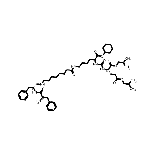 CC(C)COC(=O)CC[C@H](NC(=O)N[C@@H](CCCCNC(=O)CCCCCCCNC[C@@H](Cc1ccccc1)NC(=O)[C@H](N)Cc1ccccc1)C(=O)OC1CCCCC1)C(=O)OCC(C)C